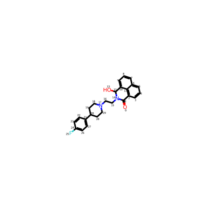 O=C1c2cccc3cccc(c23)C(O)N1CCN1CCC(c2ccc(F)cc2)CC1